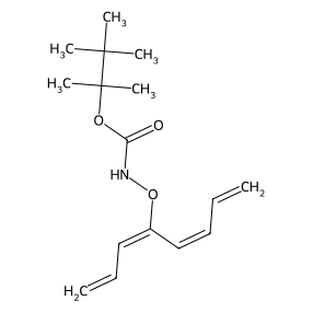 C=C/C=C\C(=C/C=C)ONC(=O)OC(C)(C)C(C)(C)C